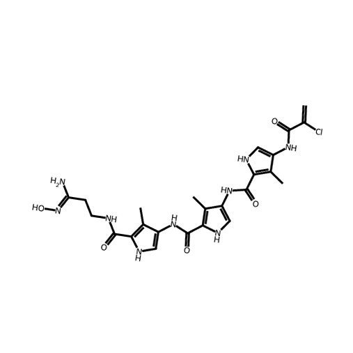 C=C(Cl)C(=O)Nc1c[nH]c(C(=O)Nc2c[nH]c(C(=O)Nc3c[nH]c(C(=O)NCCC(N)=NO)c3C)c2C)c1C